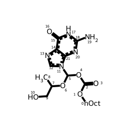 CCCCCCCCOC(=O)OC(OC(C)CO)n1cnc2c(=O)[nH]c(N)nc21